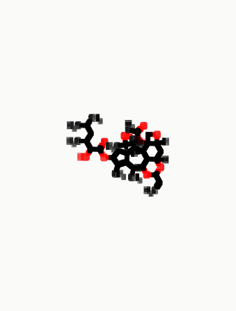 C=CC1O[C@H]2C[C@H]3OC[C@@]3(OC(C)=O)[C@@H]3C2[C@@H](O1)[C@@H](C)C1=C(C)C(OC(=O)C(O)[C@@H](C)CC(C)C)C[C@@]1(C(C)(C)O)[C@H]3C